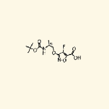 C[C@@H](COc1noc(C(=O)O)c1F)NC(=O)OC(C)(C)C